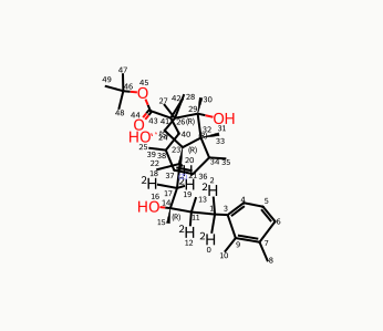 [2H]C([2H])(c1cccc(C)c1C)C([2H])(C)[C@](C)(O)C([2H])([2H])C([2H])(C)[C@H]1[C@H](O)C(C)(C)[C@](C)(O)[C@]1(C)C(C)/C=C\C(C)CC(C)C(=O)OC(C)(C)C